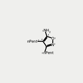 CCCCCc1noc(N)c1CCCCC